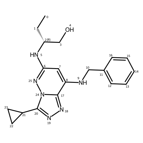 CC[C@H](CO)Nc1cc(NCc2ccccc2)c2nnc(C3CC3)n2n1